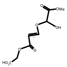 COC(=O)C(O)O/C=C/C(=O)OCC(=O)O